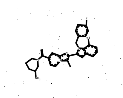 C=C(c1ccn2c(C)c(-c3cc4cccc(Cl)c4n3Cc3ccc(F)cc3)nc2c1)N1CCCC(N)C1